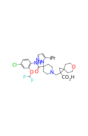 CC(C)c1ccnn1C1(C(=O)Nc2ccc(Cl)cc2OC(F)F)CCN(CC2(C(=O)O)CC23CCOCC3)CC1